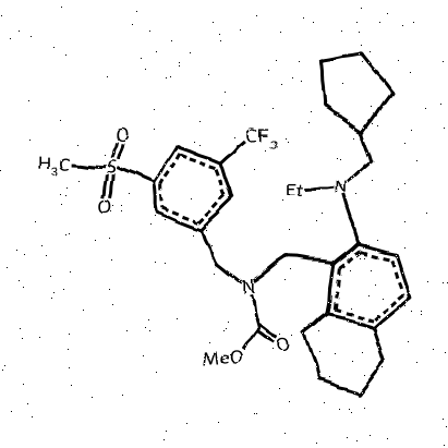 CCN(CC1CCCC1)c1ccc2c(c1CN(Cc1cc(C(F)(F)F)cc(S(C)(=O)=O)c1)C(=O)OC)CCCC2